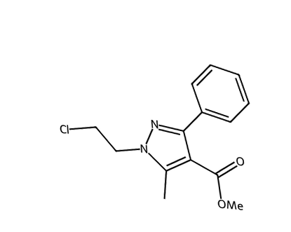 COC(=O)c1c(-c2ccccc2)nn(CCCl)c1C